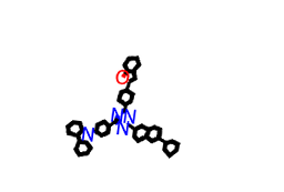 c1ccc(-c2ccc3cc(-c4nc(-c5ccc(-c6cc7ccccc7o6)cc5)nc(-c5ccc(-n6c7ccccc7c7ccccc76)cc5)n4)ccc3c2)cc1